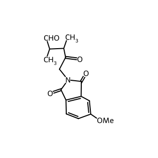 COc1ccc2c(c1)C(=O)N(CC(=O)C(C)C(C)C=O)C2=O